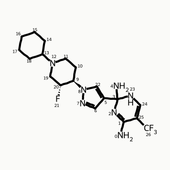 NC1=NC(N)(c2cnn([C@@H]3CCN(C4CCCCC4)C[C@H]3F)c2)NC=C1C(F)(F)F